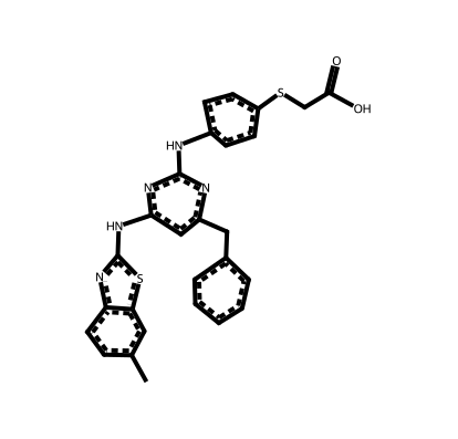 Cc1ccc2nc(Nc3cc(Cc4ccccc4)nc(Nc4ccc(SCC(=O)O)cc4)n3)sc2c1